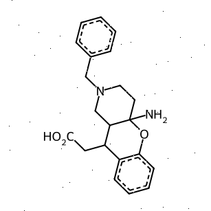 NC12CCN(Cc3ccccc3)CC1C(CC(=O)O)c1ccccc1O2